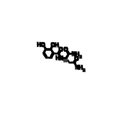 NC(=O)C[C@H](NC(=O)c1cccc(O)c1O)C(N)=O